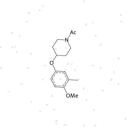 COc1ccc(OC2CCN(C(C)=O)CC2)cc1C